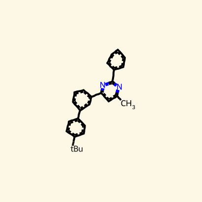 Cc1cc(-c2cccc(-c3ccc(C(C)(C)C)cc3)c2)nc(-c2ccccc2)n1